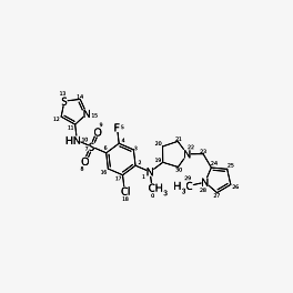 CN(c1cc(F)c(S(=O)(=O)Nc2cscn2)cc1Cl)C1CCN(Cc2cccn2C)C1